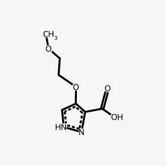 COCCOc1c[nH]nc1C(=O)O